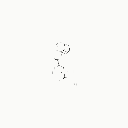 CCC(CC(C)(C)C(=O)OC(C)(C)C)C(=O)OC12CC3CC(CC(C3)C1)C2